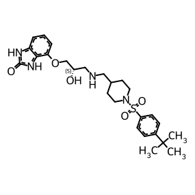 CC(C)(C)c1ccc(S(=O)(=O)N2CCC(CNC[C@H](O)COc3cccc4[nH]c(=O)[nH]c34)CC2)cc1